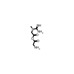 CN(CC(=O)OC(=O)CN)C(=N)N